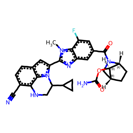 Cn1c(-c2cc3ccc(C#N)c4c3n2C(C2CC2)CN4)nc2cc(C(=O)N3C[C@H]4CC[C@@H]3[C@@H]4OC(N)=O)cc(F)c21